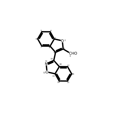 O=Cc1oc2ccccc2c1-c1noc2ccccc12